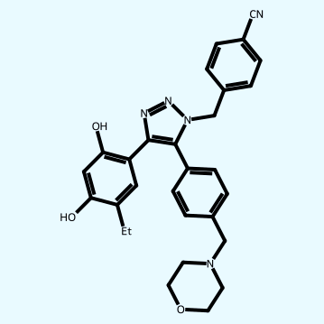 CCc1cc(-c2nnn(Cc3ccc(C#N)cc3)c2-c2ccc(CN3CCOCC3)cc2)c(O)cc1O